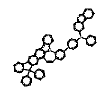 C1=Cc2c3cc4c(cc3cc3c5ccccc5n(c23)-c2cc(-c3ccc(N(c5ccccc5)c5ccc6sc7ccccc7c6c5)cc3)ccc21)-c1ccccc1C4(c1ccccc1)c1ccccc1